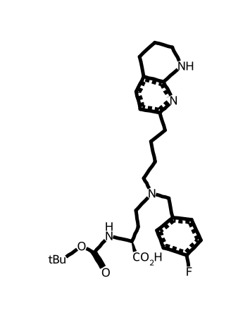 CC(C)(C)OC(=O)N[C@@H](CCN(CCCCc1ccc2c(n1)NCCC2)Cc1ccc(F)cc1)C(=O)O